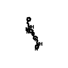 c1ccc(CCCNc2ncnc3cc(OCC4CCN(CCNc5ccncc5)CC4)ccc23)cc1